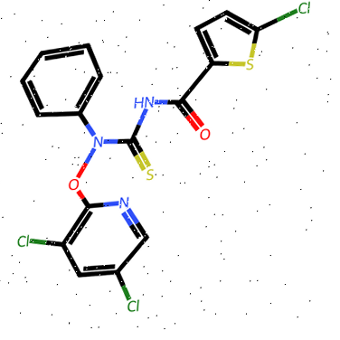 O=C(NC(=S)N(Oc1ncc(Cl)cc1Cl)c1ccccc1)c1ccc(Cl)s1